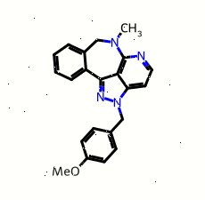 COc1ccc(Cn2nc3c4c(nccc42)N(C)Cc2ccccc2-3)cc1